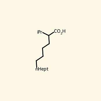 CCCCCCCCCCCC(C(=O)O)C(C)C